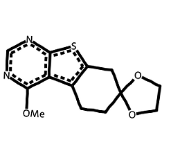 COc1ncnc2sc3c(c12)CCC1(C3)OCCO1